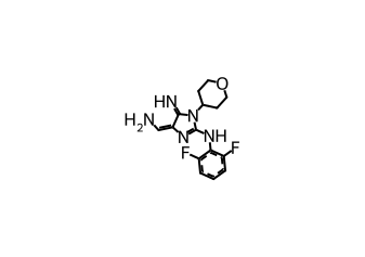 N=C1/C(=C\N)N=C(Nc2c(F)cccc2F)N1C1CCOCC1